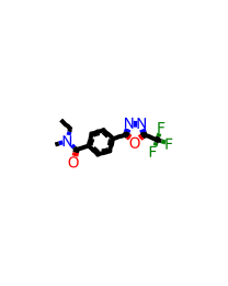 CCN(C)C(=O)c1ccc(-c2nnc(C(F)(F)F)o2)cc1